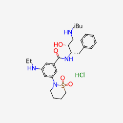 CCNc1cc(C(=O)N[C@@H](Cc2ccccc2)[C@H](O)CNC(C)CC)cc(N2CCCCS2(=O)=O)c1.Cl